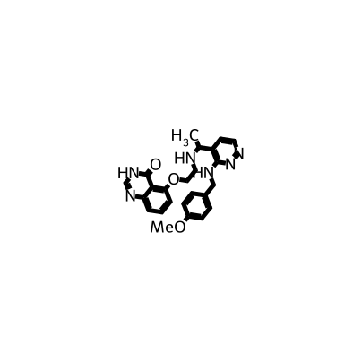 COc1ccc(CNc2nnccc2C(C)NCCOc2cccc3nc[nH]c(=O)c23)cc1